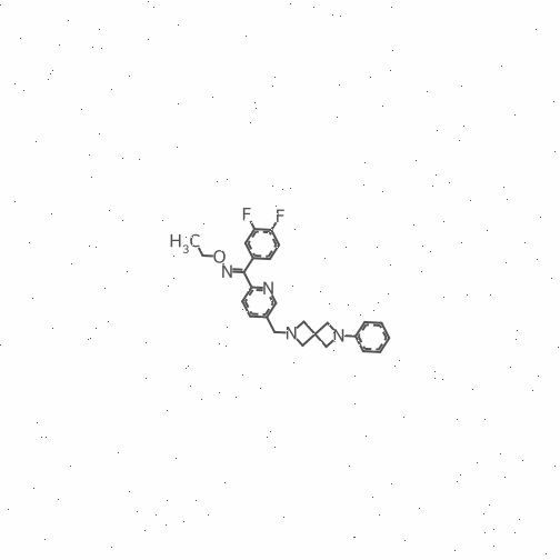 CCON=C(c1ccc(F)c(F)c1)c1ccc(CN2CC3(C2)CN(c2ccccc2)C3)cn1